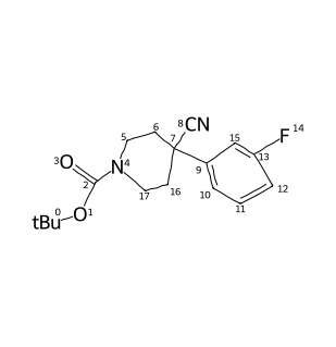 CC(C)(C)OC(=O)N1CCC(C#N)(c2cccc(F)c2)CC1